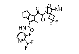 CNC(=O)C1(NC(=O)C(=O)C2C(C)=C(C(=O)Nc3ccnc(C(F)F)c3F)N3CCCC23)CC(F)(F)C1